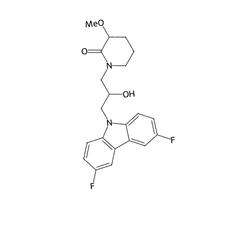 COC1CCCN(CC(O)Cn2c3ccc(F)cc3c3cc(F)ccc32)C1=O